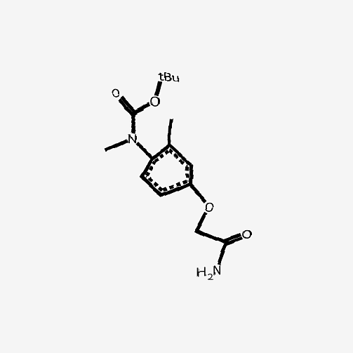 Cc1cc(OCC(N)=O)ccc1N(C)C(=O)OC(C)(C)C